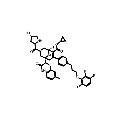 Cc1cccc(OC(C(N)=O)[C@@]23CC(c4ccc(CCCOc5c(F)ccc(F)c5F)cc4)=C(C(=O)OC4CC4)[C@H](CN(C(=O)C4C[C@H](O)CN4)C2)N3)c1